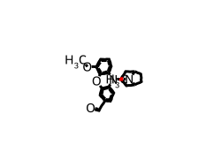 COc1cccc2c1Oc1cc(C=O)ccc1N2C1CC2CCC(C1)N2C